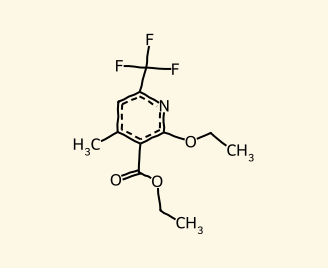 CCOC(=O)c1c(C)cc(C(F)(F)F)nc1OCC